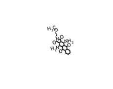 COCCCn1c(=O)c2c(N)c3c(=O)c4ccccc4c(=O)c3c(N)c2c1=O